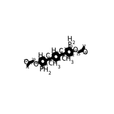 CC(C)(c1ccc(C(C)(C)c2ccc(OCC3CO3)c(P)c2)cc1)c1ccc(OCC2CO2)c(P)c1